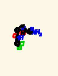 C[C@H](Cc1cccc(CC(=O)NCc2ccc(Cl)c(Cl)c2)c1)NC[C@H](O)c1ccc(N)nc1